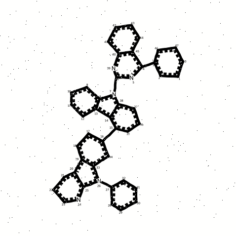 c1ccc(-c2nc(-n3c4ccccc4c4c(-c5ccc6c7cccnc7n(-c7ccccc7)c6c5)cccc43)nc3ccccc23)cc1